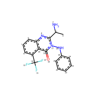 CC(N)c1nc2cccc(C(F)(F)F)c2c(=O)n1Nc1ccccc1